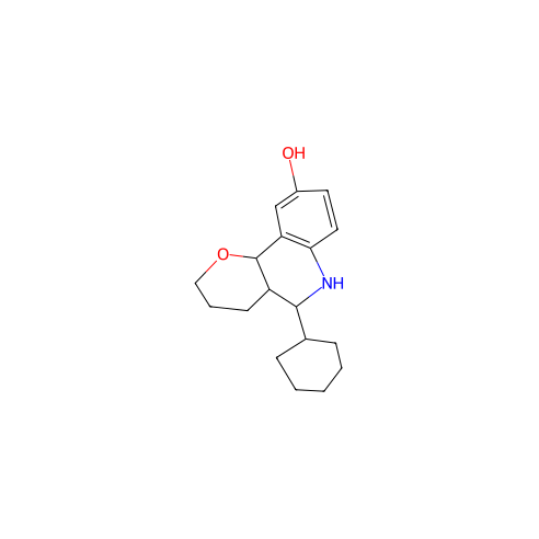 Oc1ccc2c(c1)C1OCCCC1C(C1CCCCC1)N2